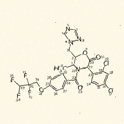 CC1C(Cn2cncn2)OC(=O)C(c2ccc(Cl)cc2Cl)N1C(=O)c1ccc(OCC(F)(F)C(F)F)cc1